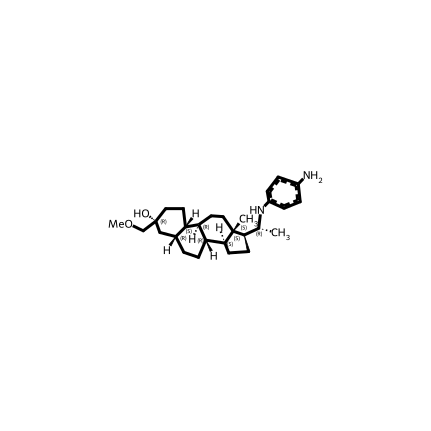 COC[C@@]1(O)CC[C@H]2[C@H](CC[C@@H]3[C@@H]2CC[C@]2(C)[C@@H]([C@@H](C)Nc4ccc(N)cc4)CC[C@@H]32)C1